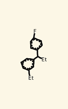 CCc1cccc(C(CC)c2ccc(F)cc2)c1